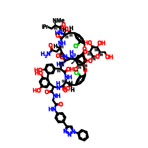 CN[C@H](CC(C)C)C(=O)N[C@H]1C(=O)N[C@@H](CC(N)=O)C(=O)NC2C(=O)N[C@H]3C(=O)N[C@H](C(=O)NC(C(=O)NCC(=O)Nc4ccc(-c5cn(-c6ccccc6)nn5)cc4)c4cc(O)cc(O)c4-c4cc3ccc4O)[C@H](O)c3ccc(c(Cl)c3)Oc3cc2cc(c3O[C@@H]2O[C@H](CO)[C@@H](O)[C@H](O)[C@H]2OC2C[C@](C)(N)[C@H](O)[C@H](C)O2)Oc2ccc(cc2Cl)[C@H]1O